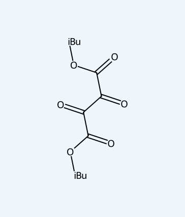 CCC(C)OC(=O)C(=O)C(=O)C(=O)OC(C)CC